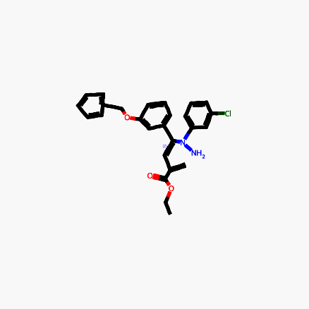 C=C(/C=C(/c1cccc(OCc2ccccc2)c1)N(N)c1cccc(Cl)c1)C(=O)OCC